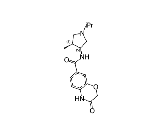 CC(C)N1C[C@H](C)[C@H](NC(=O)c2ccc3c(c2)OCC(=O)N3)C1